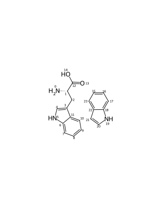 N[C@@H](Cc1c[nH]c2ccccc12)C(=O)O.c1ccc2[nH]ccc2c1